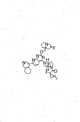 C=C(F)C(=O)N1CC[C@@H]2[C@H]1CN2c1nc(OC[C@@]23CCCN2C[C@H](F)C3)nc2nc(-c3cncc4c3CCCC4)ccc12